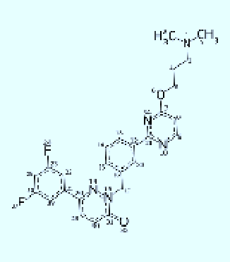 CN(C)CCCOc1ccnc(-c2cccc(Cn3nc(-c4cc(F)cc(F)c4)ccc3=O)c2)n1